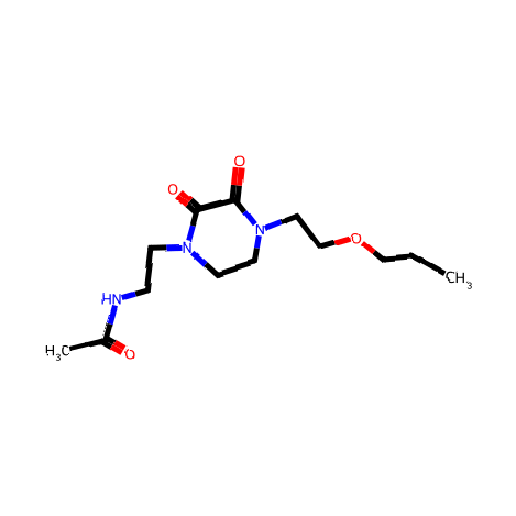 CCCOCCN1CCN(CCNC(C)=O)C(=O)C1=O